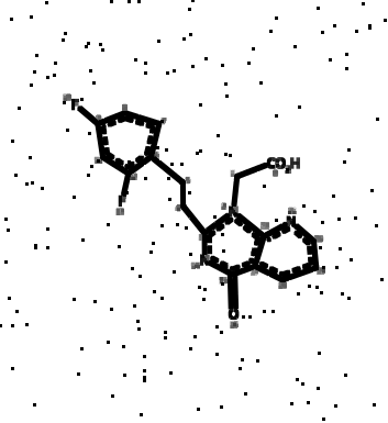 O=C(O)Cn1c(CCc2ccc(F)cc2F)nc(=O)c2cccnc21